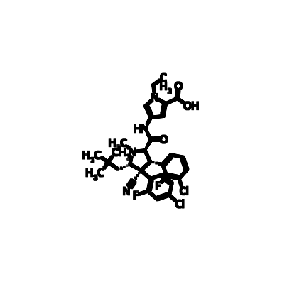 CCn1cc(NC(=O)[C@H]2[C@H](c3cccc(Cl)c3F)[C@@](C#N)(c3ccc(Cl)cc3F)[C@H](CC(C)(C)C)N2C)cc1C(=O)O